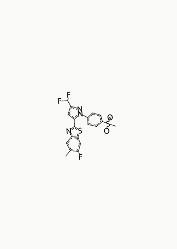 Cc1cc2nc(-c3cc(C(F)F)nn3-c3ccc(S(C)(=O)=O)cc3)sc2cc1F